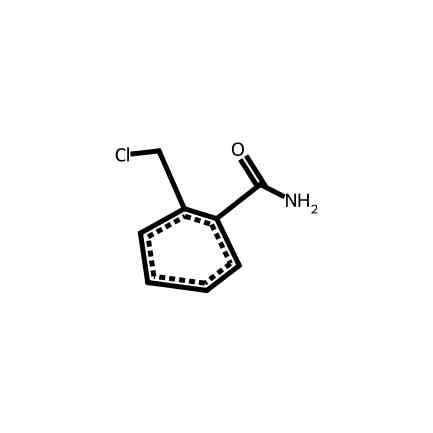 NC(=O)c1ccccc1CCl